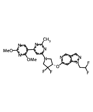 COc1ncc(-c2cc(N3C[C@H](Oc4cc5c(cn4)cnn5CC(F)F)C(F)(F)C3)nc(C)n2)c(OC)n1